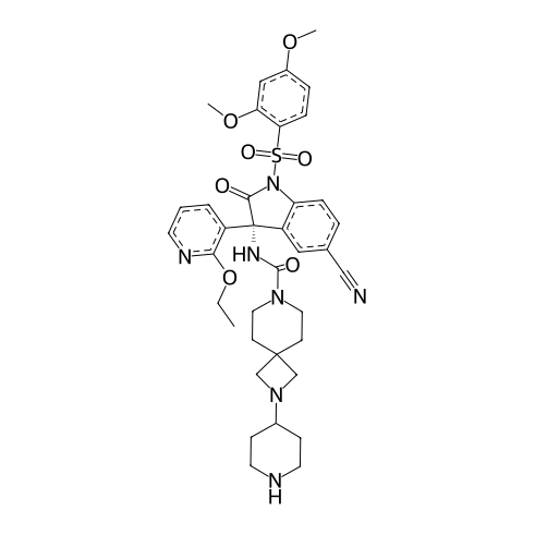 CCOc1ncccc1[C@@]1(NC(=O)N2CCC3(CC2)CN(C2CCNCC2)C3)C(=O)N(S(=O)(=O)c2ccc(OC)cc2OC)c2ccc(C#N)cc21